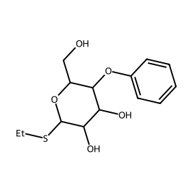 CCSC1OC(CO)C(Oc2ccccc2)C(O)C1O